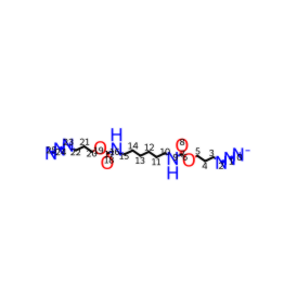 [N-]=[N+]=NCCCOC(=O)NCCCCCCNC(=O)OCCCN=[N+]=[N-]